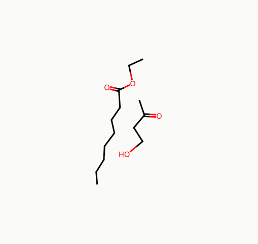 CC(=O)CCO.CCCCCCCC(=O)OCC